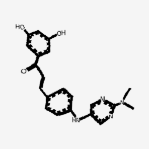 CN(C)c1ncc(Nc2ccc(C=CC(=O)c3cc(O)cc(O)c3)cc2)cn1